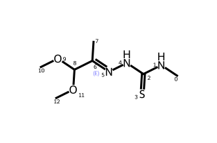 CNC(=S)N/N=C(\C)C(OC)OC